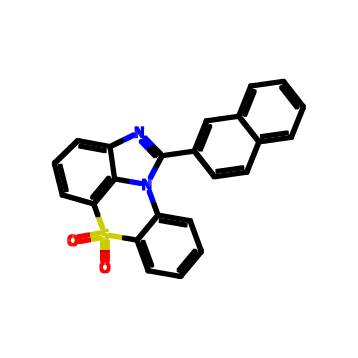 O=S1(=O)c2ccccc2-n2c(-c3ccc4ccccc4c3)nc3cccc1c32